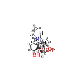 CO[C@@]12CC[C@@]3(C[C@@H]1C(C)(O)C(C)(C)C)[C@H]1Cc4ccc(O)c5c4[C@@]3(CCN1CC1CC1)[C@H]2O5